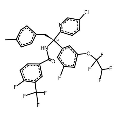 Cc1ccc(C[C@](NC(=O)c2ccc(F)c(C(F)(F)F)c2)(c2cc(F)cc(OC(F)(F)C(F)F)c2)c2ccc(Cl)cn2)cc1